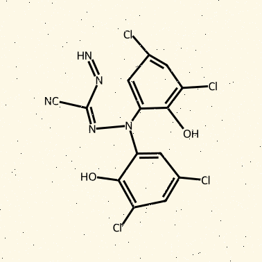 N#CC(N=N)=NN(c1cc(Cl)cc(Cl)c1O)c1cc(Cl)cc(Cl)c1O